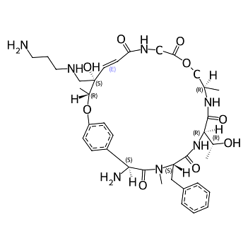 C[C@@H]1COC(=O)CNC(=O)/C=C/[C@](O)(CNCCCN)[C@@H](C)Oc2ccc(cc2)[C@H](N)C(=O)N(C)[C@@H](Cc2ccccc2)C(=O)N[C@H]([C@@H](C)O)C(=O)N1